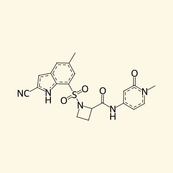 Cc1cc(S(=O)(=O)N2CCC2C(=O)Nc2ccn(C)c(=O)c2)c2[nH]c(C#N)cc2c1